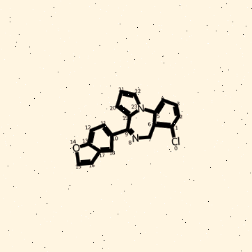 Clc1cccc2c1CN=C(c1ccc3occc3c1)c1cccn1-2